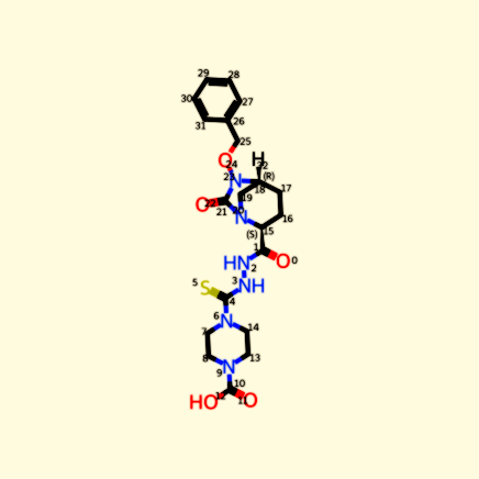 O=C(NNC(=S)N1CCN(C(=O)O)CC1)[C@@H]1CC[C@@H]2CN1C(=O)N2OCc1ccccc1